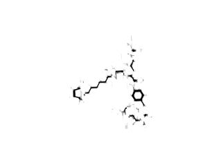 CC(=O)[C@@H](NC(=O)[C@H](C(C)C)N(C)C(=O)OCc1ccc(NC(=O)[C@H](CCCNC(N)=O)NC(=O)[C@@H](NC(=O)CCCCCN2C(=O)C=CC2=O)C(C)C)cc1)C(C)C